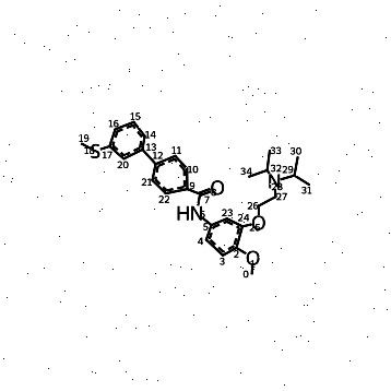 COc1ccc(NC(=O)c2ccc(-c3cccc(SC)c3)cc2)cc1OCCN(C(C)C)C(C)C